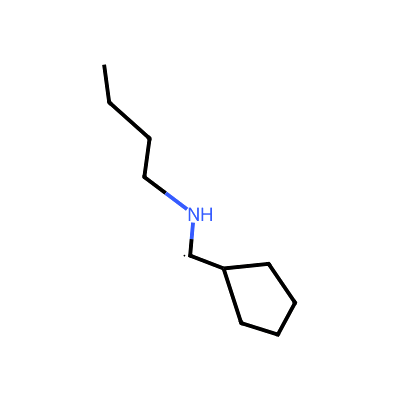 CCCCN[CH]C1CCCC1